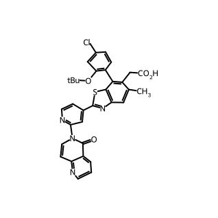 Cc1cc2nc(-c3ccnc(-n4ccc5ncccc5c4=O)c3)sc2c(-c2ccc(Cl)cc2OC(C)(C)C)c1CC(=O)O